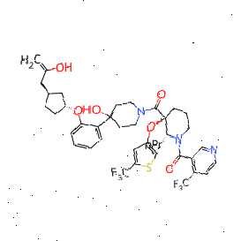 C=C(O)C[C@@H]1CC[C@@H](Oc2ccccc2C2(O)CCN(C(=O)[C@]3(Oc4csc(C(F)(F)F)c4)CCCN(C(=O)c4cnccc4C(F)(F)F)[C@@H]3CCC)CC2)C1